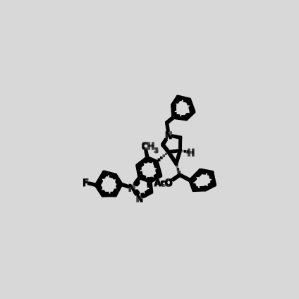 CC(=O)OC(c1ccccc1)[C@H]1[C@@H]2CN(Cc3ccccc3)C[C@@]21c1cc2cnn(-c3ccc(F)cc3)c2cc1C